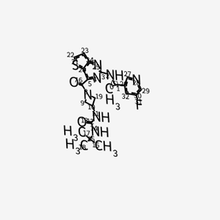 C[C@H](Nc1nc(C(=O)N2CC(NC(=O)NC(C)(C)C)C2)c2sccc2n1)c1cncc(F)c1